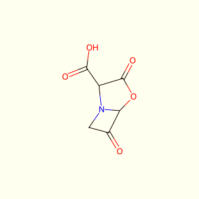 O=C1CN2C1OC(=O)C2C(=O)O